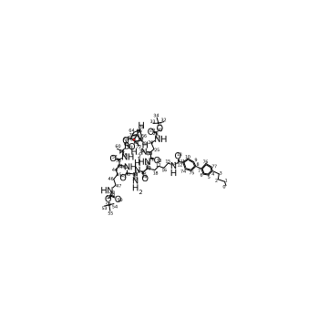 CCCCc1ccc(-c2ccc(C(=O)NCCCC[C@H](NC(=O)[C@@H](N)CCNC(=O)OC(C)(C)C)C(=O)N[C@@H](N)C(=O)N[C@@H](CCCCNC(=O)OC(C)(C)C)C(=O)N[C@@H](C)B3OC4C[C@@H]5C[C@@H](C5(C)C)[C@]4(C)O3)cc2)cc1